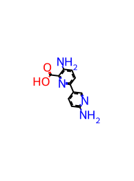 Nc1ccc(-c2ccc(N)c(C(=O)O)n2)cn1